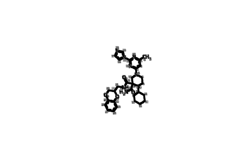 Cc1cc(N2CCN(C3CCCCC3)C(C(N)=O)(C(=O)NCC3COc4ccccc4O3)C2)nc(-n2ccnc2)n1